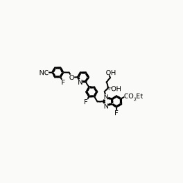 CCOC(=O)c1cc(F)c2nc(Cc3ccc(-c4cccc(OCc5ccc(C#N)cc5F)n4)cc3F)n(C[C@@H](O)CCO)c2c1